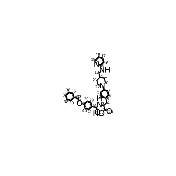 O=C(NC(Cc1ccc(N2CCC(CNc3ccccn3)CC2)cc1)C(=O)O)c1ccc(OCc2ccccc2)cc1